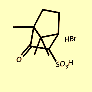 Br.CC12CCC(C(S(=O)(=O)O)C1=O)C2(C)C